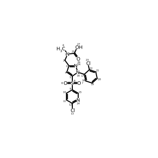 CN(Cc1cc(S(=O)(=O)c2ccc(Cl)nc2)n(-c2ccccc2Cl)n1)C(=O)O